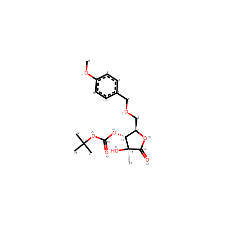 COc1ccc(COC[C@H]2OC(=O)[C@@](C)(O)[C@@H]2OC(=O)OC(C)(C)C)cc1